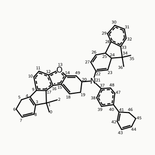 CC1(C)C2=C(CCC=C2)c2ccc3oc4c(c3c21)=CCC(N(C1=CC2C(C=C1)c1ccccc1C2(C)C)c1ccc(C2=CC=CCC2)cc1)C=4